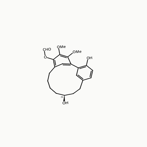 COc1c2cc(c(OC=O)c1OC)CCCC[C@H](O)CCc1ccc(O)c-2c1